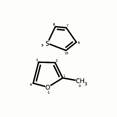 Cc1ccco1.c1ccsc1